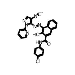 [C-]#[N+]c1cnn(-c2ccccn2)c1/N=N/c1c(O)c(C(=O)Nc2ccc(Cl)cc2)cc2ccccc12